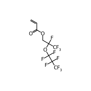 C=CC(=O)OCC(F)(OC(F)(F)C(F)(F)C(F)(F)F)C(F)(F)F